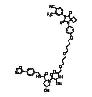 CC(C)(C)[C@H](NC(=O)COCCCOCCCCOc1ccc(N2C(=S)N(c3ccc(C#N)c(C(F)(F)F)c3)C(=O)C23CCC3)cc1)C(=O)N1C[C@H](O)C[C@H]1C(=O)NCc1ccc(-c2cnco2)cc1